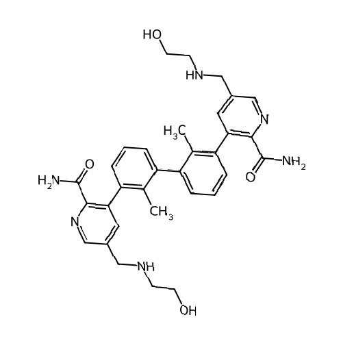 Cc1c(-c2cc(CNCCO)cnc2C(N)=O)cccc1-c1cccc(-c2cc(CNCCO)cnc2C(N)=O)c1C